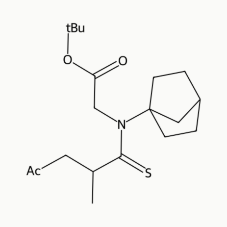 CC(=O)CC(C)C(=S)N(CC(=O)OC(C)(C)C)C12CCC(CC1)C2